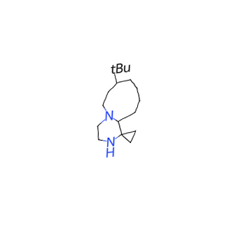 CC(C)(C)C1CCCCC2N(CCNC23CC3)CC1